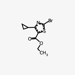 CCOC(=O)c1sc(Br)nc1C1CC1